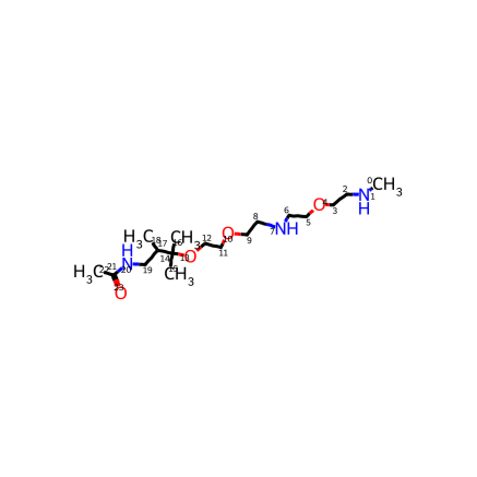 CNCCOCCNCCOCCOC(C)(C)C(C)CNC(C)=O